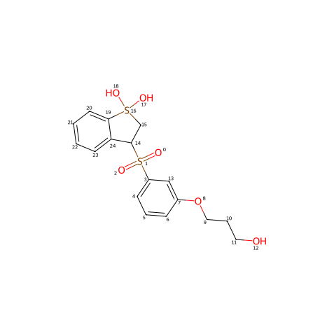 O=S(=O)(c1cccc(OCCCO)c1)C1CS(O)(O)c2ccccc21